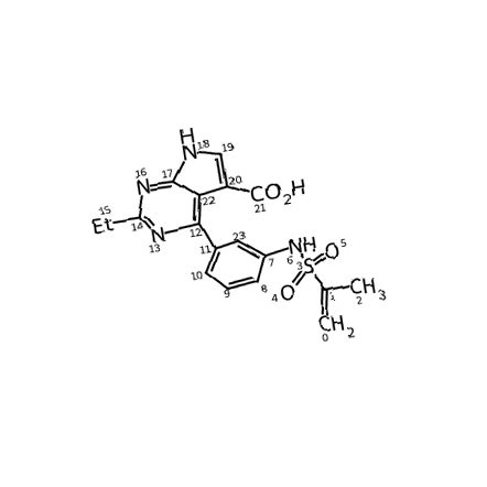 C=C(C)S(=O)(=O)Nc1cccc(-c2nc(CC)nc3[nH]cc(C(=O)O)c23)c1